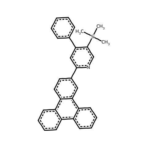 C[Si](C)(C)c1cnc(-c2ccc3c4ccccc4c4ccccc4c3c2)cc1-c1ccccc1